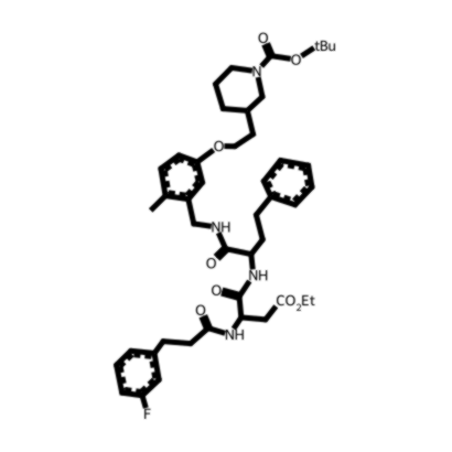 CCOC(=O)CC(NC(=O)CCc1cccc(F)c1)C(=O)NC(CCc1ccccc1)C(=O)NCc1cc(OCCC2CCCN(C(=O)OC(C)(C)C)C2)ccc1C